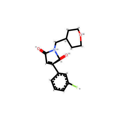 O=C1C=C(c2cccc(F)c2)C(=O)N1CC1CCOCC1